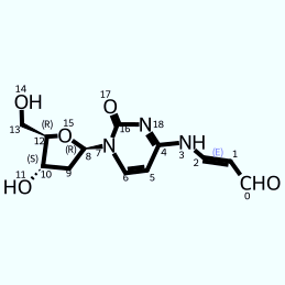 O=C/C=C/Nc1ccn([C@H]2C[C@H](O)[C@@H](CO)O2)c(=O)n1